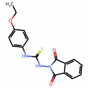 CCOc1ccc(NC(=S)NN2C(=O)c3ccccc3C2=O)cc1